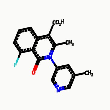 Cc1cncc(-n2c(C)c(C(=O)O)c3cccc(F)c3c2=O)c1